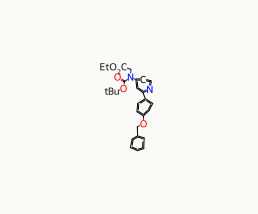 CCOC(=O)CN(C(=O)OC(C)(C)C)c1ccnc(-c2ccc(OCc3ccccc3)cc2)c1